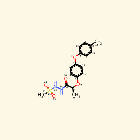 CC(Oc1ccc(Oc2ccc(C(F)(F)F)cc2)cc1)C(=O)NNS(C)(=O)=O